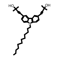 CCCCCCCCCCCCn1c2ccc(C#CC(C)(C)O)cc2c2cc(C#CC(C)(C)O)ccc21